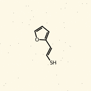 SC=Cc1ccco1